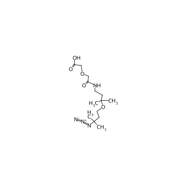 CC(C)(CCOC(C)(C)CCNC(=O)COCC(=O)O)N=[N+]=[N-]